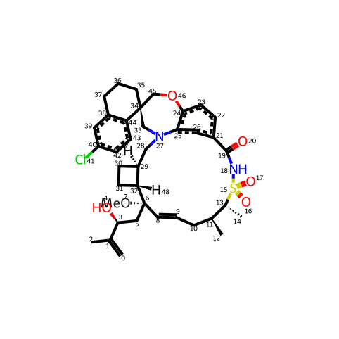 C=C(C)[C@@H](O)C[C@]1(OC)/C=C/C[C@H](C)[C@@H](C)S(=O)(=O)NC(=O)c2ccc3c(c2)N(C[C@@H]2CC[C@H]21)C[C@@]1(CCCc2cc(Cl)ccc21)CO3